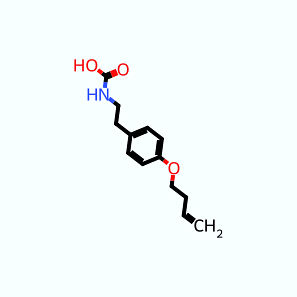 C=CCCOc1ccc(CCNC(=O)O)cc1